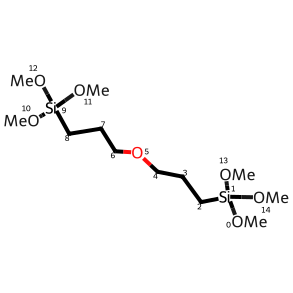 CO[Si](CCCOCCC[Si](OC)(OC)OC)(OC)OC